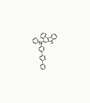 c1ccc(-c2ccc(-c3ccc(N(c4ccccc4)c4cc5sc6ccccc6c5c5ccccc45)cc3)cc2)cc1